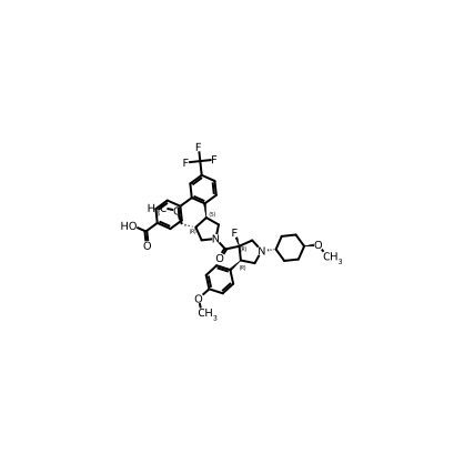 COC[C@H]1CN(C(=O)[C@]2(F)CN([C@H]3CC[C@H](OC)CC3)C[C@H]2c2ccc(OC)cc2)C[C@@H]1c1ccc(C(F)(F)F)cc1-c1ccc(C(=O)O)cc1